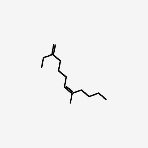 C=C(CC)CCCC=C(C)CCCC